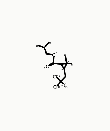 CC(C)COC(=O)C1C(CC(Cl)(Cl)Cl)C1(C)C